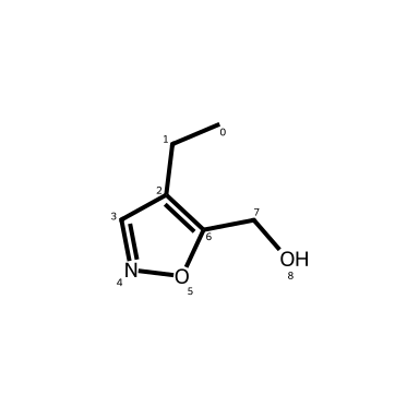 CCc1cnoc1CO